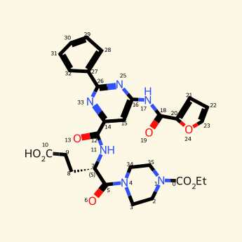 CCOC(=O)N1CCN(C(=O)[C@H](CCC(=O)O)NC(=O)c2cc(NC(=O)c3ccco3)nc(-c3ccccc3)n2)CC1